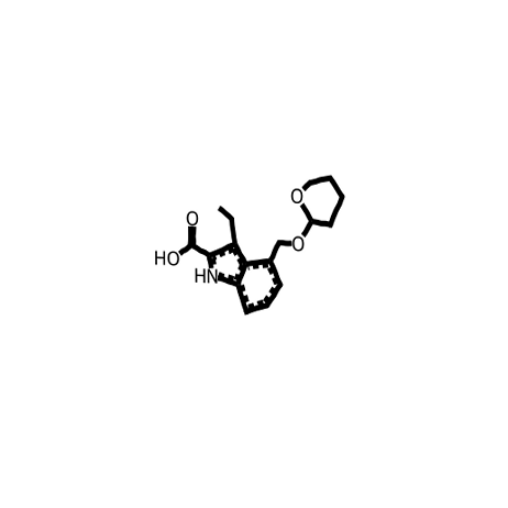 CCc1c(C(=O)O)[nH]c2cccc(COC3CCCCO3)c12